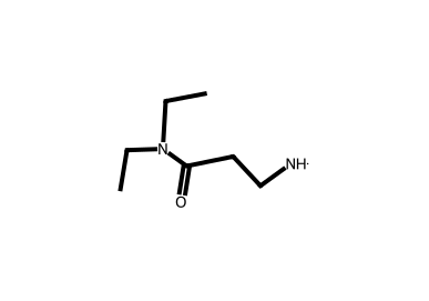 CCN(CC)C(=O)CC[NH]